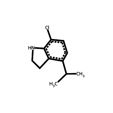 CC(C)c1ccc(Cl)c2c1CCN2